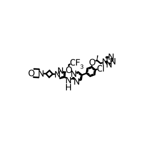 C[C@@H](Cn1cnnn1)Oc1cc(-c2cnc(Nc3cn(C4CC(N5CCOCC5)C4)nc3OCC(F)(F)F)nc2)ccc1Cl